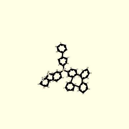 c1ccc(-c2ccc(N(c3ccc4c(c3)-c3ccccc3-c3ccccc3-c3ccccc3-4)c3ccc4c(c3)oc3ncccc34)cc2)cc1